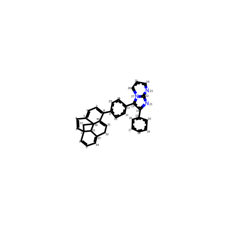 C1=CC23C=CC4=CC=C(c5ccc(-c6c(-c7ccccc7)nc7ncccn67)cc5)C5=CCC(=C1)C2C45C3